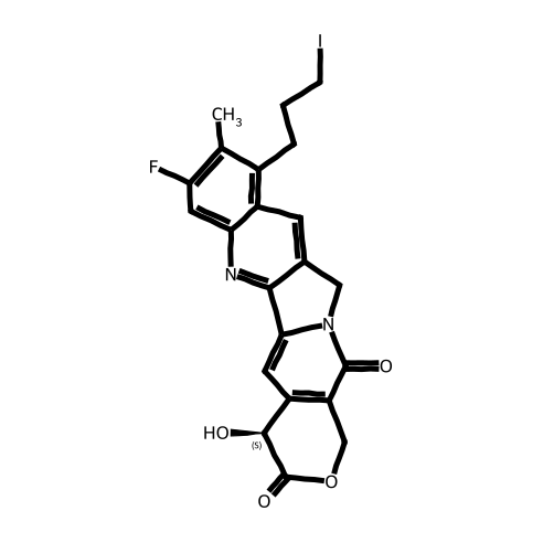 Cc1c(F)cc2nc3c(cc2c1CCCI)Cn1c-3cc2c(c1=O)COC(=O)[C@H]2O